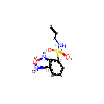 C=CCNS(=O)(=O)c1cccc2nonc12